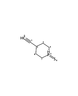 C#CC1CC[PH](=S)CC1